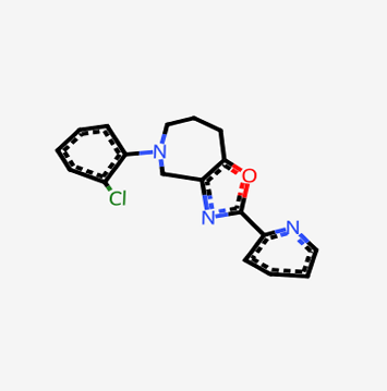 Clc1ccccc1N1CCCc2oc(-c3ccccn3)nc2C1